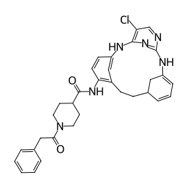 O=C(Nc1ccc2cc1CCC1C=CC=C(C1)Nc1ncc(Cl)c(n1)N2)C1CCN(C(=O)Cc2ccccc2)CC1